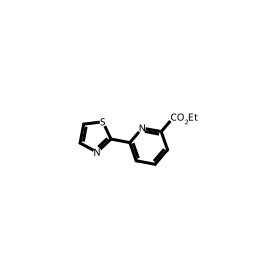 CCOC(=O)c1cccc(-c2nccs2)n1